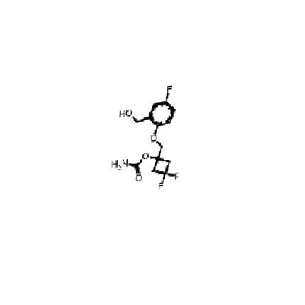 NC(=O)OC1(COc2ccc(F)cc2CO)CC(F)(F)C1